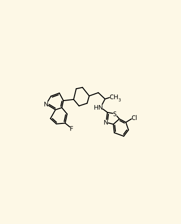 CC(CC1CCC(c2ccnc3ccc(F)cc23)CC1)Nc1nc2cccc(Cl)c2s1